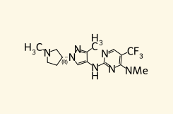 CNc1nc(Nc2cn([C@@H]3CCN(C)C3)nc2C)ncc1C(F)(F)F